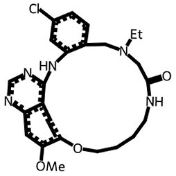 CCN1CC(=O)NCCCCOc2cc3c(ncnc3cc2OC)Nc2cc(Cl)ccc2C1